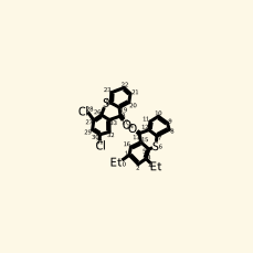 CCc1cc(CC)c2sc3ccccc3c(=O)c2c1.O=c1c2ccccc2sc2c(Cl)cc(Cl)cc12